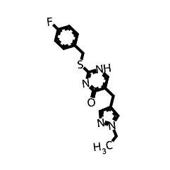 CCn1cc(Cc2c[nH]c(SCc3ccc(F)cc3)nc2=O)cn1